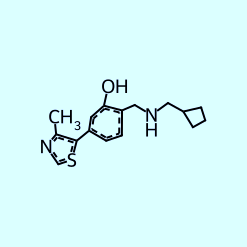 Cc1ncsc1-c1ccc(CNCC2CCC2)c(O)c1